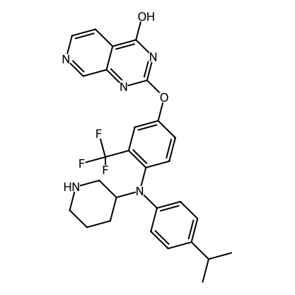 CC(C)c1ccc(N(c2ccc(Oc3nc(O)c4ccncc4n3)cc2C(F)(F)F)C2CCCNC2)cc1